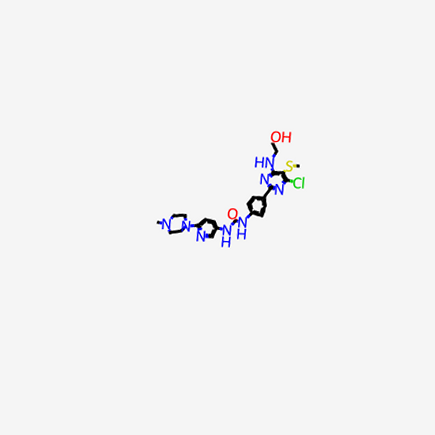 CSc1c(Cl)nc(-c2ccc(NC(=O)Nc3ccc(N4CCN(C)CC4)nc3)cc2)nc1NCCO